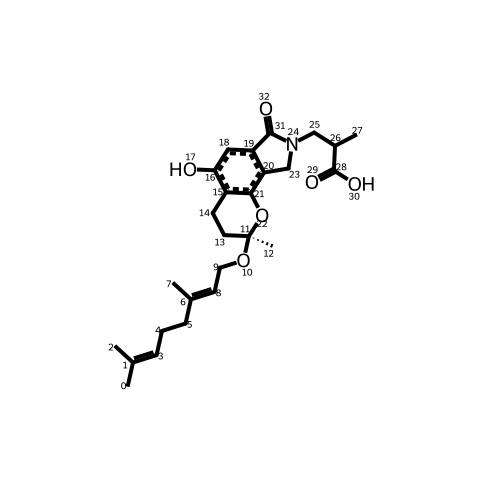 CC(C)=CCC/C(C)=C/CO[C@@]1(C)CCc2c(O)cc3c(c2O1)CN(CC(C)C(=O)O)C3=O